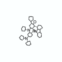 c1ccc(N(c2ccccc2)c2ccc3c(c2)N(c2ccccc2)c2cc4c(oc5ccccc54)c4c2B3n2c3ccccc3c3cccc-4c32)cc1